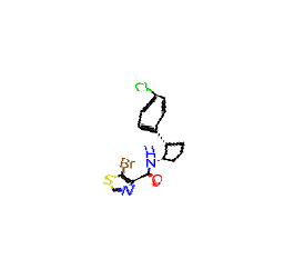 O=C(N[C@H]1CC[C@H]1c1ccc(Cl)cc1)c1ncsc1Br